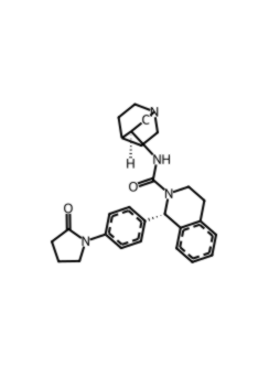 O=C1CCCN1c1ccc([C@H]2c3ccccc3CCN2C(=O)N[C@@H]2CN3CCC2CC3)cc1